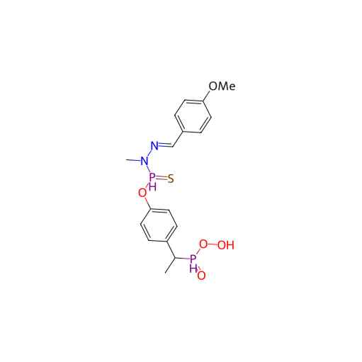 COc1ccc(/C=N/N(C)[PH](=S)Oc2ccc(C(C)[PH](=O)OO)cc2)cc1